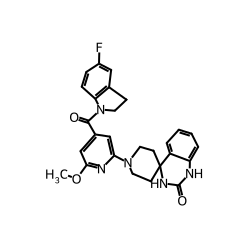 COc1cc(C(=O)N2CCc3cc(F)ccc32)cc(N2CCC3(CC2)NC(=O)Nc2ccccc23)n1